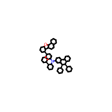 c1ccc(-c2ccccc2N(c2ccc(-c3cccc4oc5c6ccccc6ccc5c34)cc2)c2ccc3c(c2)c(-c2ccccc2)c(-c2ccccc2)c2ccccc23)cc1